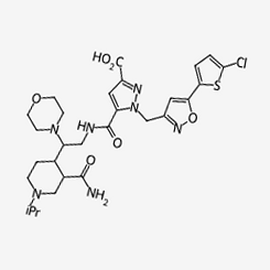 CC(C)N1CCC(C(CNC(=O)c2cc(C(=O)O)nn2Cc2cc(-c3ccc(Cl)s3)on2)N2CCOCC2)C(C(N)=O)C1